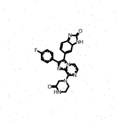 O=C1CN(c2nccn3c(C4=CC5NC(=O)N=C5C=C4)c(-c4ccc(F)cc4)nc23)CCN1